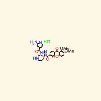 COc1ccc(O)c(C(=O)c2ccc(C(=O)N[C@@H]3CCCNC[C@H]3NC(=O)c3ccnc(N)c3)cc2)c1OC.Cl